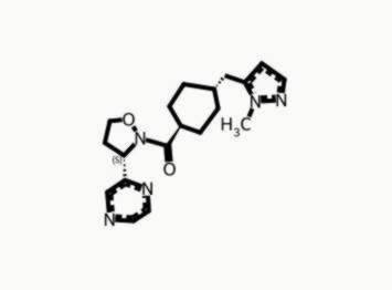 Cn1nccc1C[C@H]1CC[C@H](C(=O)N2OCC[C@H]2c2cnccn2)CC1